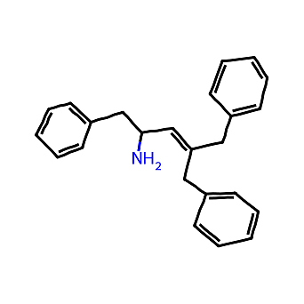 NC(C=C(Cc1ccccc1)Cc1ccccc1)Cc1ccccc1